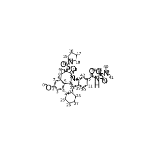 COc1ccc2c(c1)C1CC1(S(=O)(=O)N1CCCC1)Cn1c-2c(C2CCCCC2)c2ccc(C(=O)NS(=O)(=O)N(C)C)cc21